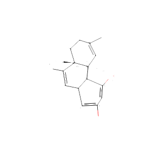 CC1=C[C@H]2C3C(O)=CC(O)=CC3C=C(C)[C@@H]2CC1